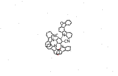 N#Cc1c(-n2c3ccccc3c3ccccc32)c(-n2c3ccccc3c3ccccc32)c(-n2c3ccccc3c3ccccc32)c(C#N)c1-n1c2ccccc2c2c3c(ccc21)oc1ccccc13